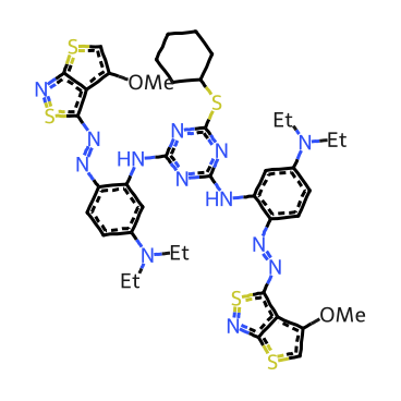 CCN(CC)c1ccc(/N=N/c2snc3scc(OC)c23)c(Nc2nc(Nc3cc(N(CC)CC)ccc3/N=N/c3snc4scc(OC)c34)nc(SC3CCCCC3)n2)c1